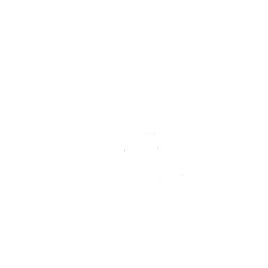 O=C(OOC1=C(OOC(=O)c2ccc(-c3ccccc3)cc2)CCCC1)c1ccc(-c2ccccc2)cc1